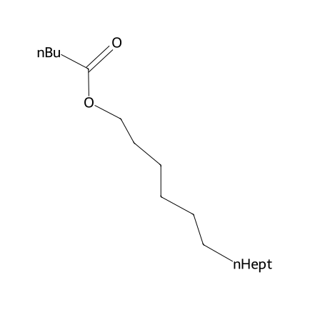 CCCCCCCCCCCCCOC(=O)CCCC